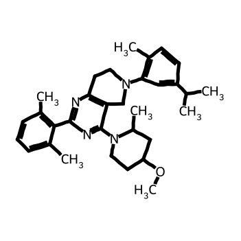 COC1CCN(c2nc(-c3c(C)cccc3C)nc3c2CN(c2cc(C(C)C)ccc2C)CC3)C(C)C1